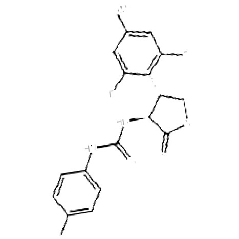 COc1cc(F)c([C@@H]2CNC(=O)[C@H]2NC(=O)Nc2ccc(I)cc2)c(F)c1